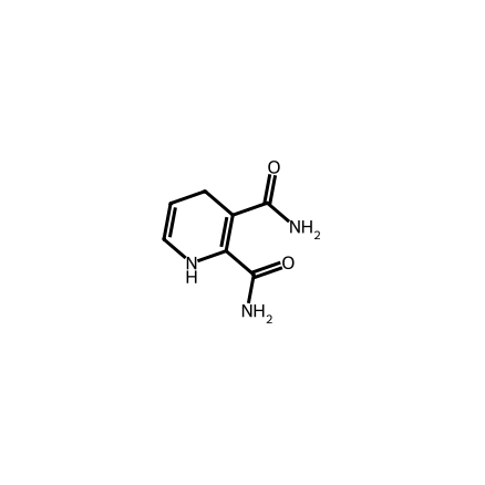 NC(=O)C1=C(C(N)=O)NC=CC1